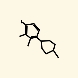 Cc1c(I)ccc(C2CCC(C)CC2)c1C